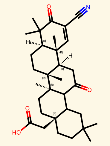 CC1(C)CC[C@]2(CC(=O)O)CC[C@]3(C)C(C(=O)C[C@@H]4[C@@]5(C)C=C(C#N)C(=O)C(C)(C)[C@@H]5CC[C@]43C)C2C1